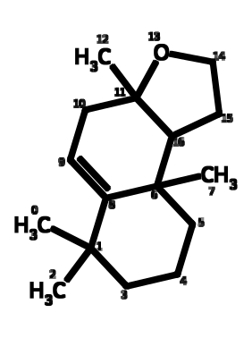 CC1(C)CCCC2(C)C1=CCC1(C)OCCC12